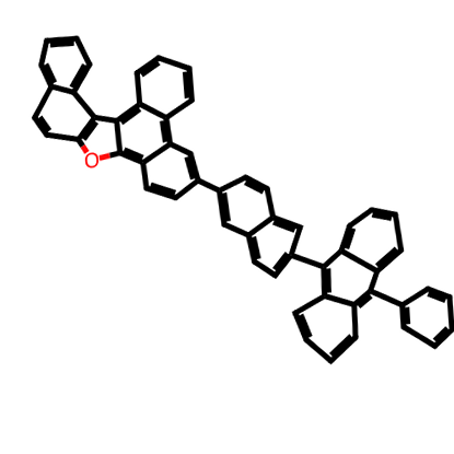 c1ccc(-c2c3ccccc3c(-c3ccc4cc(-c5ccc6c(c5)c5ccccc5c5c6oc6ccc7ccccc7c65)ccc4c3)c3ccccc23)cc1